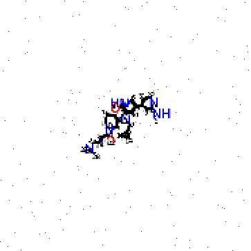 CNc1cc(-c2c[nH]c(=O)c(N(CC3CC3)[C@@H]3CCCN(C(=O)/C=C/CN(C)C)C3)c2)ccn1